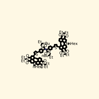 CCCCCCn1c2cc3c(=O)n(C(CC)CC)c(=O)c4ccc5c6c(-c7ccc(-c8ccc9c(c8)N(CC(CC)CCCC)C(=O)/C9=C8/C(=O)N(CC(CC)CCCC)c9cc(-c%10ccc(-c%11cc%12c(=O)n(C(CC)CC)c(=O)c%13cc%14c%15c(c%11c%11ccc%16c(=O)n(C(CC)CC)c(=O)c%17cc(c%15c%11c%16%17)n%14CCCCCC)c%12%13)s%10)ccc98)s7)cc7c(=O)n(C(CC)CC)c(=O)c8cc1c(c6c78)c2c5c43